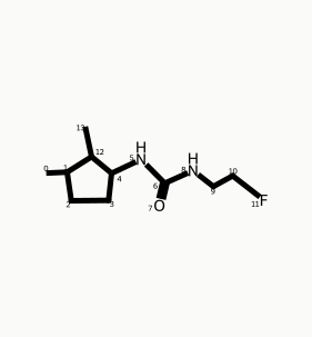 CC1CCC(NC(=O)NCCF)C1C